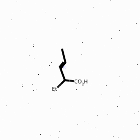 C/C=C/C(CC)C(=O)O